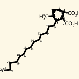 Cc1ccc(C(=O)O)c(C(=O)O)c1CCCCCCCCCCCCCC(C)C